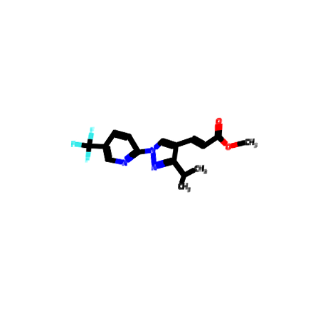 COC(=O)/C=C/c1cn(-c2ccc(C(F)(F)F)cn2)nc1C(C)C